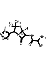 CCCC(N)C(=O)NC1C(=O)N2C(c3nnn[nH]3)C(C)(C)S[C@@H]12